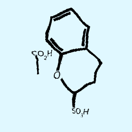 CC(=O)O.O=S(=O)(O)C1CCc2ccccc2O1